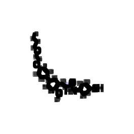 CCCCOCCOc1ccc(-c2ccc(OC)c(/C=C/C(=O)Nc3ccc(S)cc3)c2)cc1